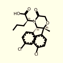 CCC[C@@H](C(=O)O)N1C(=O)CO[C@](C)(c2ccc(Cl)cc2)[C@@H]1c1ccc(Cl)cc1